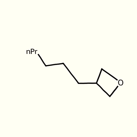 [CH2]CCCCCC1COC1